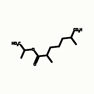 CC(CCCC(C)C(=O)OC(C)C(=O)O)C(=O)O